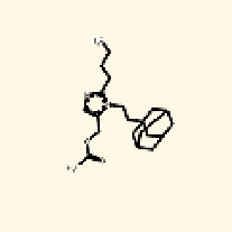 CCCCc1ncc(COC(C)=O)n1CCC12CC3CC(CC(C3)C1)C2